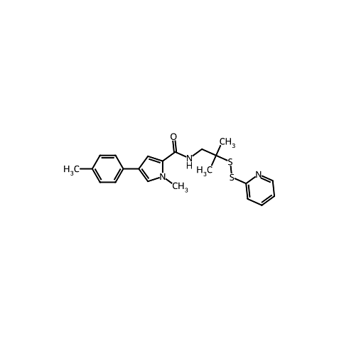 Cc1ccc(-c2cc(C(=O)NCC(C)(C)SSc3ccccn3)n(C)c2)cc1